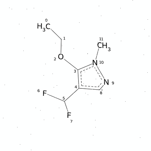 CCOc1c(C(F)F)[c]nn1C